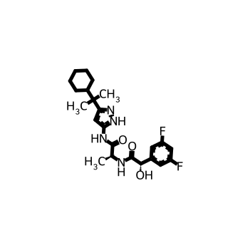 C[C@H](NC(=O)[C@@H](O)c1cc(F)cc(F)c1)C(=O)Nc1cc(C(C)(C)C2CCCCC2)n[nH]1